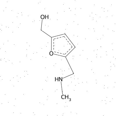 CNCc1ccc(CO)o1